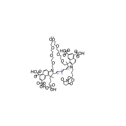 COCCOCCOCCOCCN1c2ccc3c(S(=O)(=O)O)cc(S(=O)(=O)O)cc3c2C(C)(CCCS(=O)(=O)O)C1/C=C/C(C)=C/C=C1/N(CCCC(=O)ON2C(=O)CCC2=O)c2ccc3c(S(=O)(=O)O)cc(S(=O)(=O)O)cc3c2C1(C)CCOCCOCCOCCOC